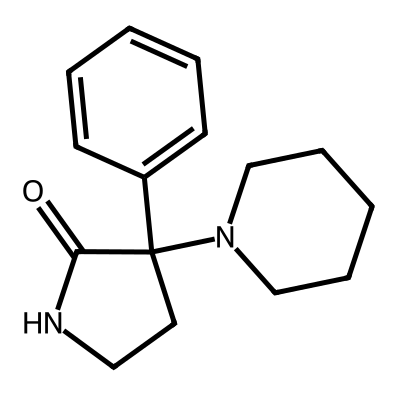 O=C1NCCC1(c1ccccc1)N1CCCCC1